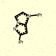 CC(C)c1cc2n(C(C)C)ccn2n1